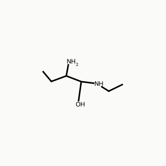 CCNC(O)C(N)CC